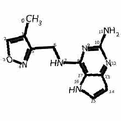 Cc1conc1CNc1nc(N)nc2cc[nH]c12